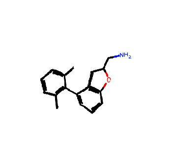 Cc1cccc(C)c1-c1cccc2c1CC(CN)O2